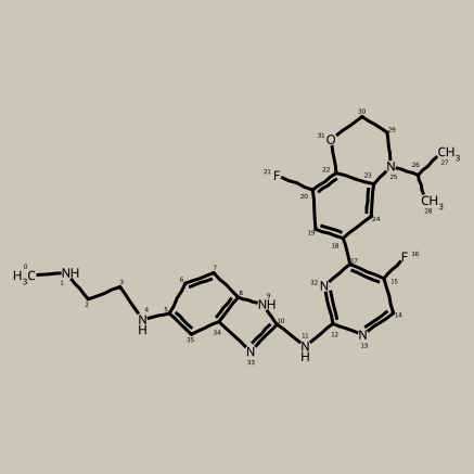 CNCCNc1ccc2[nH]c(Nc3ncc(F)c(-c4cc(F)c5c(c4)N(C(C)C)CCO5)n3)nc2c1